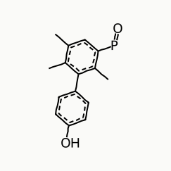 Cc1cc(P=O)c(C)c(-c2ccc(O)cc2)c1C